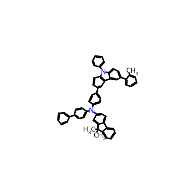 Cc1ccccc1-c1ccc2c(c1)c1cc(-c3ccc(N(c4ccc(-c5ccccc5)cc4)c4ccc5c(c4)C(C)(C)c4ccccc4-5)cc3)ccc1n2-c1ccccc1